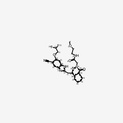 COCCNC(=O)Cn1nc(Cc2nc3cc(C#N)c(OCC(F)F)cc3[nH]2)c2ccccc2c1=O